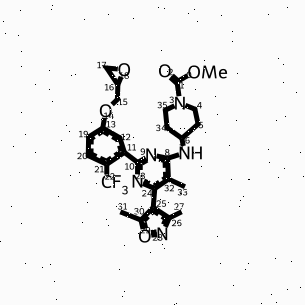 COC(=O)N1CCC(Nc2nc(-c3cc(OCC4CO4)ccc3C(F)(F)F)nc(-c3c(C)noc3C)c2C)CC1